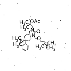 CC(=O)OC(C)(C)CN1CC2(CCC(c3ccccc3)(N(C)C)CC2)N(COCC[Si](C)(C)C)C1=O